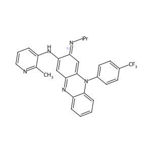 Cc1ncccc1Nc1cc2nc3ccccc3n(-c3ccc(C(F)(F)F)cc3)c-2c/c1=N\C(C)C